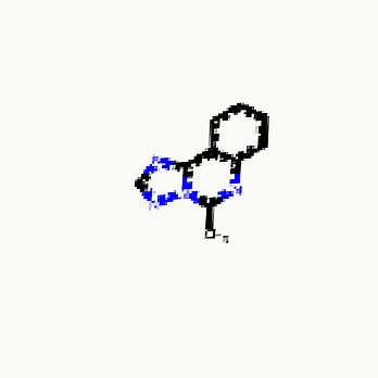 Cc1nc2ccccc2c2ncnn12